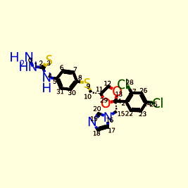 NNC(=S)Nc1ccc(SC[C@@H]2CO[C@@](Cn3ccnc3)(c3ccc(Cl)cc3Cl)O2)cc1